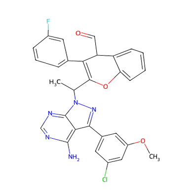 COc1cc(Cl)cc(-c2nn(C(C)C3=C(c4cccc(F)c4)C(C=O)c4ccccc4O3)c3ncnc(N)c23)c1